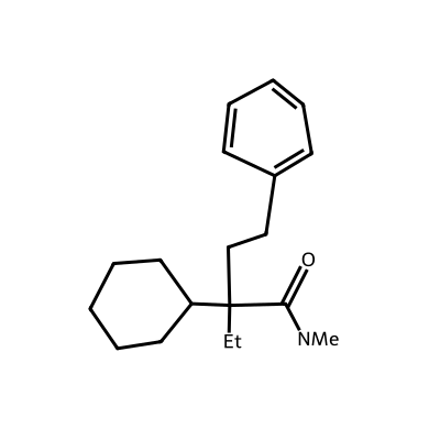 CCC(CCc1ccccc1)(C(=O)NC)C1CCCCC1